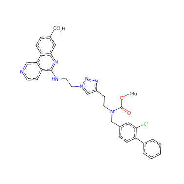 CC(C)(C)OC(=O)N(CCc1cn(CCNc2nc3cc(C(=O)O)ccc3c3cnccc23)nn1)Cc1ccc(-c2ccccc2)c(Cl)c1